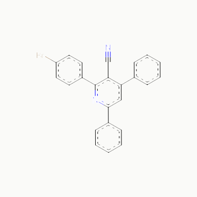 N#Cc1c(-c2ccccc2)cc(-c2ccccc2)nc1-c1ccc(Br)cc1